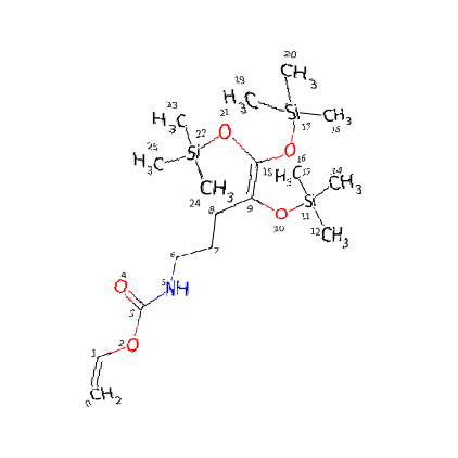 C=COC(=O)NCCCC(O[Si](C)(C)C)=C(O[Si](C)(C)C)O[Si](C)(C)C